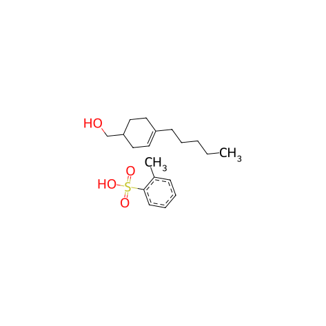 CCCCCC1=CCC(CO)CC1.Cc1ccccc1S(=O)(=O)O